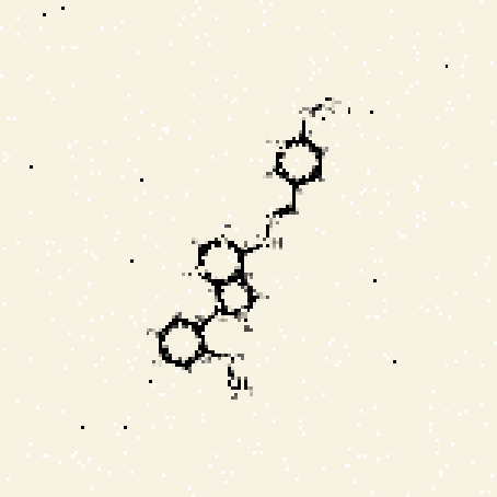 COc1ccc(/C=N/Nc2ncnc3c2cnn3-c2ccccc2OC)cn1